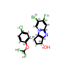 O[C@@H]1C[C@H](c2cc(Cl)ccc2OC(F)F)c2c1nc1cc(F)c(Br)cn21